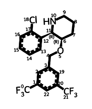 FC(F)(F)c1cc(CO[C@@H]2CCCN[C@@H]2c2ccccc2Cl)cc(C(F)(F)F)c1